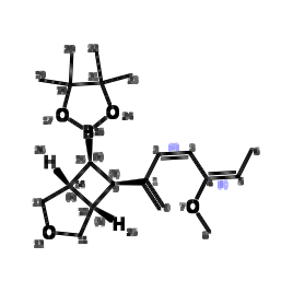 C=C(/C=C\C(=C/C)OC)[C@H]1[C@@H]2COC[C@@H]2[C@H]1B1OC(C)(C)C(C)(C)O1